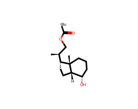 C[C@@H](COC(=O)C(C)(C)C)[C@H]1CC[C@H]2[C@@H](O)CCC[C@@]12C